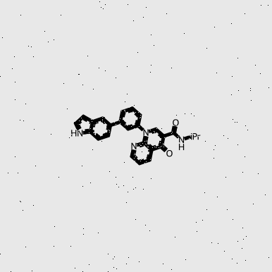 CC(C)NC(=O)c1cn(-c2cccc(-c3ccc4[nH]ccc4c3)c2)c2ncccc2c1=O